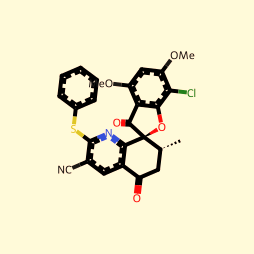 COc1cc(OC)c2c(c1Cl)O[C@]1(C2=O)c2nc(Sc3ccccc3)c(C#N)cc2C(=O)C[C@H]1C